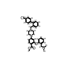 COC(=O)c1ccc(N2CCN(Cc3ccccc3-c3ccc(Cl)cc3)CC2)cc1Oc1ccccc1CN(C)C